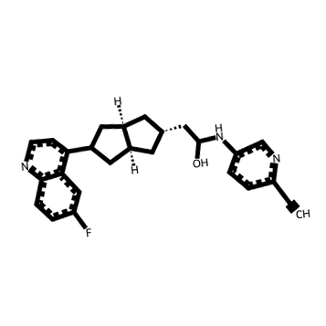 C#Cc1ccc(NC(O)C[C@@H]2C[C@H]3CC(c4ccnc5ccc(F)cc45)C[C@H]3C2)cn1